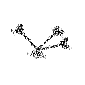 CC(C)(C)OC(=O)N(C(=O)OC(C)(C)C)C(COCCOCCOCCOCCOC[C@H]1OC[C@@H](N2CCOC2=O)[C@H]2OC(C)(C)O[C@H]21)(COCCOCCOCCOCCOC[C@H]1OC[C@@H](N2CCOC2=O)[C@H]2OC(C)(C)O[C@H]21)COCCOCCOCCOCCOC[C@H]1OC[C@@H](N2CCOC2=O)[C@H]2OC(C)(C)O[C@H]21